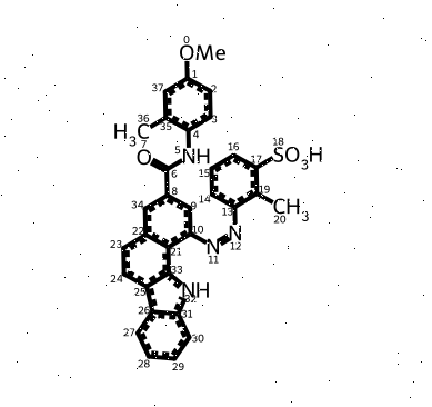 COc1ccc(NC(=O)c2cc(/N=N\c3cccc(S(=O)(=O)O)c3C)c3c(ccc4c5ccccc5[nH]c43)c2)c(C)c1